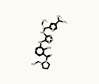 CC[C@@H](Nc1nsnc1Nc1cccc(C(=O)N2CCC[C@H]2CO)c1O)c1cc(C(C)C)co1